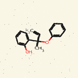 C=CC(C)(Oc1ccccc1)c1ccccc1O